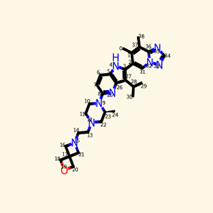 Cc1c(-c2[nH]c3ccc(N4CCN(CCN5CC6(COC6)C5)C[C@@H]4C)nc3c2C(C)C)cn2ncnc2c1C